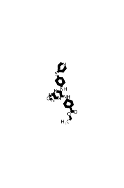 CCOC(=O)c1ccc(Nc2nc3nonc3nc2Nc2ccc(Sc3ccncc3)cc2)cc1